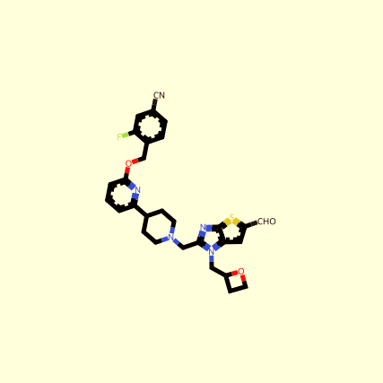 N#Cc1ccc(COc2cccc(C3CCN(Cc4nc5sc(C=O)cc5n4CC4CCO4)CC3)n2)c(F)c1